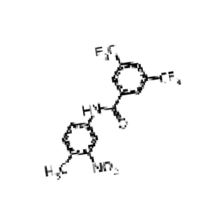 Cc1ccc(NC(=O)c2cc(C(F)(F)F)cc(C(F)(F)F)c2)cc1[N+](=O)[O-]